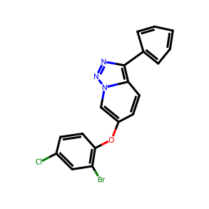 Clc1ccc(Oc2ccc3c(-c4ccccc4)nnn3c2)c(Br)c1